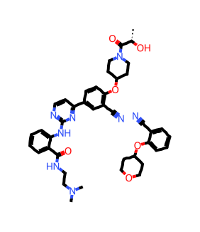 C[C@H](O)C(=O)N1CCC(Oc2ccc(-c3ccnc(Nc4ccccc4C(=O)NCCN(C)C)n3)cc2C#N)CC1.N#Cc1ccccc1OC1CCOCC1